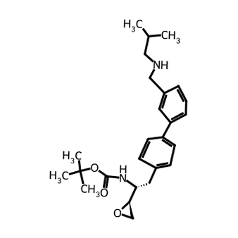 CC(C)CNCc1cccc(-c2ccc(C[C@@H](NC(=O)OC(C)(C)C)[C@H]3CO3)cc2)c1